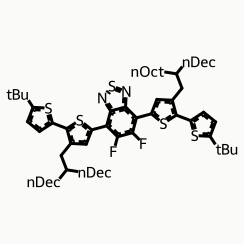 CCCCCCCCCCC(CCCCCCCC)Cc1cc(-c2c(F)c(F)c(-c3cc(CC(CCCCCCCCCC)CCCCCCCCCC)c(-c4ccc(C(C)(C)C)s4)s3)c3nsnc23)sc1-c1ccc(C(C)(C)C)s1